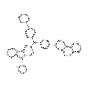 c1ccc(-c2ccc(N(c3ccc(-c4ccc5c(ccc6ccccc65)c4)cc3)c3ccc4c(c3)c3ccccc3n4-c3ccccc3)cc2)cc1